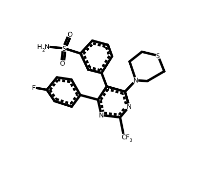 NS(=O)(=O)c1cccc(-c2c(-c3ccc(F)cc3)nc(C(F)(F)F)nc2N2CCSCC2)c1